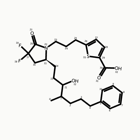 CC(CCCc1ccccc1)C(O)CC[C@H]1CC(F)(F)C(=O)N1CCCc1ccc(C(=O)O)s1